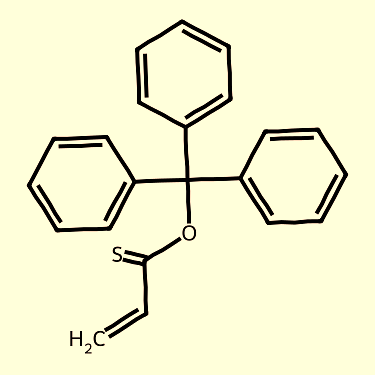 C=CC(=S)OC(c1ccccc1)(c1ccccc1)c1ccccc1